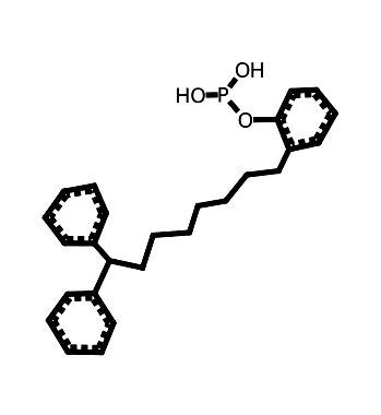 OP(O)Oc1ccccc1CCCCCCCC(c1ccccc1)c1ccccc1